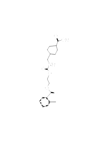 Cc1ccccc1C(=O)OCCOC(=O)NCC1CCC(C(=O)O)CC1